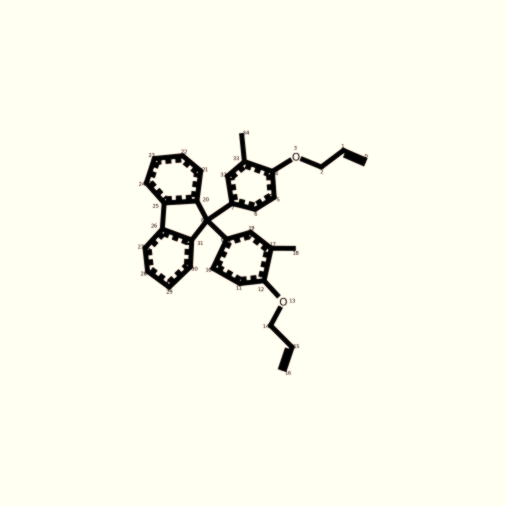 C=CCOc1ccc(C2(c3ccc(OCC=C)c(C)c3)c3ccccc3-c3ccccc32)cc1C